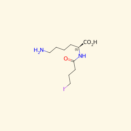 NCCCC[C@H](NC(=O)CCCI)C(=O)O